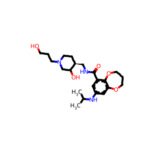 CC(C)Nc1cc2c(c(C(=O)NC[C@@H]3CCN(CCCO)CC3O)c1)OCCCO2